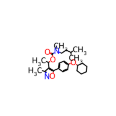 Cc1noc(-c2ccc(OC3CCCCC3)cc2)c1C(C)OC(=O)N(C)CCC(C)C